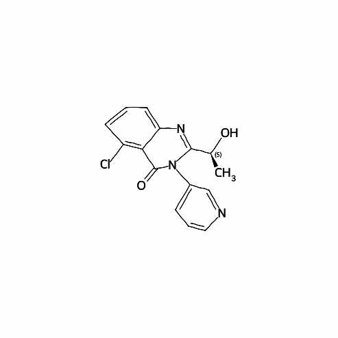 C[C@H](O)c1nc2cccc(Cl)c2c(=O)n1-c1cccnc1